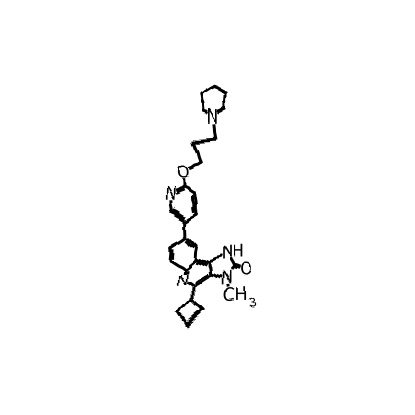 Cn1c(=O)[nH]c2c3cc(-c4ccc(OCCCN5CCCCC5)nc4)ccc3nc(C3CCC3)c21